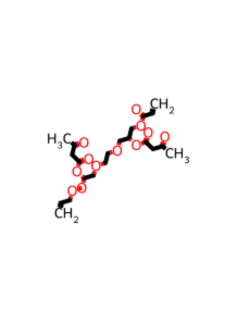 C=CCOOC(COCCOCC(COC(=O)C=C)OC(=O)CC(C)=O)OC(=O)CC(C)=O